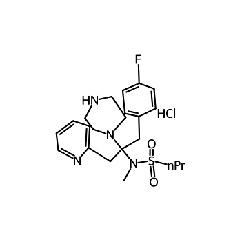 CCCS(=O)(=O)N(C)C(Cc1ccc(F)cc1)(Cc1ccccn1)N1CCNCC1.Cl